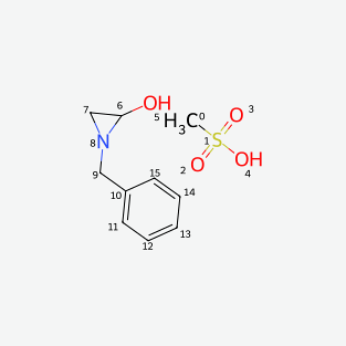 CS(=O)(=O)O.OC1CN1Cc1ccccc1